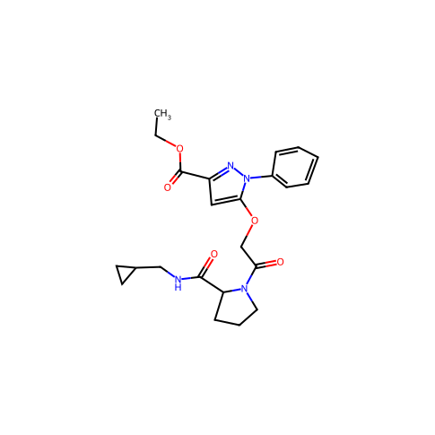 CCOC(=O)c1cc(OCC(=O)N2CCCC2C(=O)NCC2CC2)n(-c2ccccc2)n1